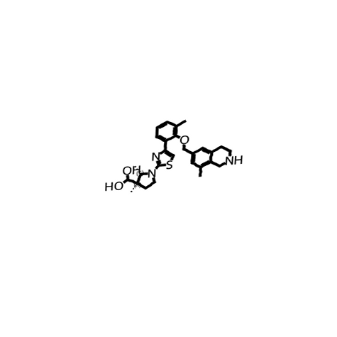 Cc1cc(COc2c(C)cccc2-c2csc(N3CC[C@@](C)(C(O)O)[C@@H]3C)n2)cc2c1CNCC2